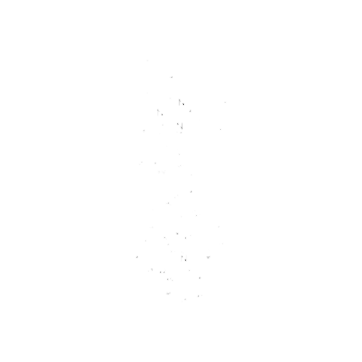 c1ccc(-c2nc(-c3ccccc3)nc(-c3cccc4c3sc3ccc(-c5cccc6c5sc5cccc(-n7c8ccccc8c8ccccc87)c56)cc34)n2)cc1